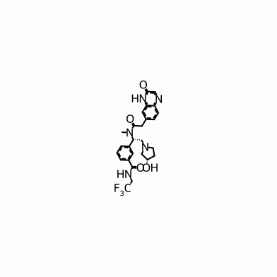 CN(C(=O)Cc1ccc2ncc(=O)[nH]c2c1)[C@H](CN1CC[C@H](O)C1)c1cccc(C(=O)NCC(F)(F)F)c1